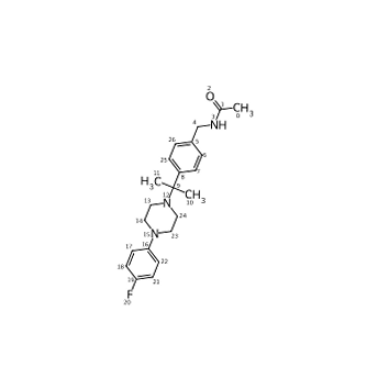 CC(=O)NCc1ccc(C(C)(C)N2CCN(c3ccc(F)cc3)CC2)cc1